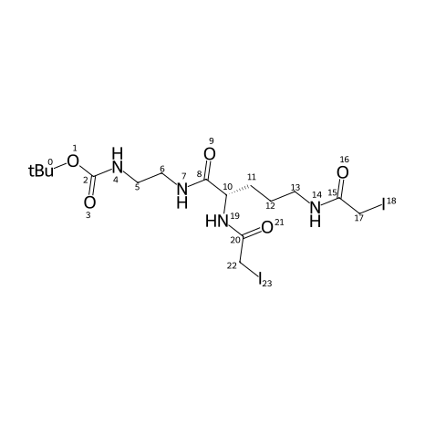 CC(C)(C)OC(=O)NCCNC(=O)[C@H](CCCNC(=O)CI)NC(=O)CI